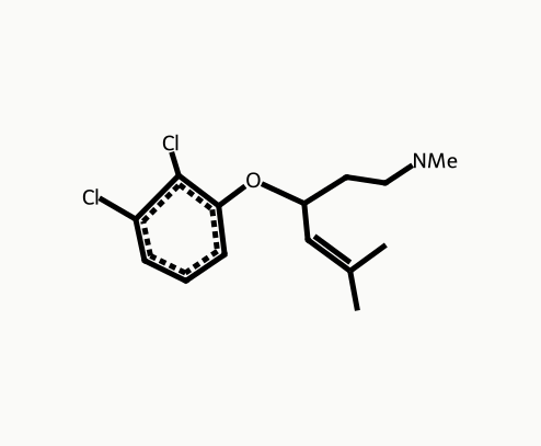 CNCCC(C=C(C)C)Oc1cccc(Cl)c1Cl